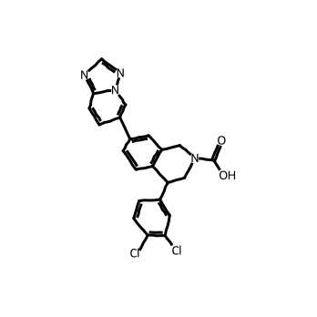 O=C(O)N1Cc2cc(-c3ccc4ncnn4c3)ccc2C(c2ccc(Cl)c(Cl)c2)C1